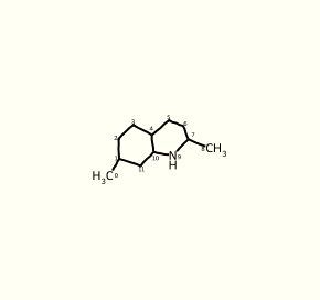 CC1CCC2CCC(C)NC2C1